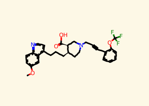 COc1ccc2nccc(CCC[C@@H]3CCN(CC#Cc4ccccc4OC(F)(F)F)C[C@@H]3C(=O)O)c2c1